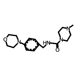 CN1CCN(C(=O)NCc2ccc(N3CCOCC3)cc2)CC1